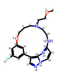 COCCN1CCCOc2cc(F)cc(c2)-c2cnn3ccc(nc23)NCC1